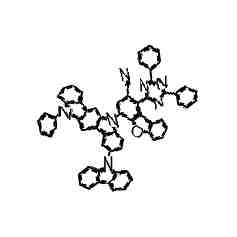 N#Cc1cc(-n2c3ccc(-n4c5ccccc5c5ccccc54)cc3c3cc4c(cc32)c2ccccc2n4-c2ccccc2)c2oc3ccccc3c2c1-c1nc(-c2ccccc2)nc(-c2ccccc2)n1